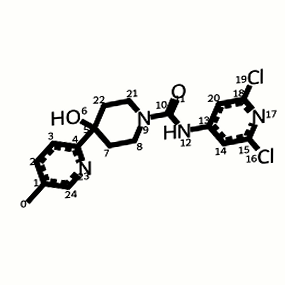 Cc1ccc(C2(O)CCN(C(=O)Nc3cc(Cl)nc(Cl)c3)CC2)nc1